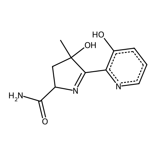 CC1(O)CC(C(N)=O)N=C1c1ncccc1O